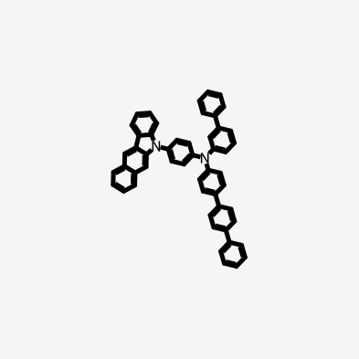 c1ccc(-c2ccc(-c3ccc(N(c4ccc(-n5c6ccccc6c6cc7ccccc7cc65)cc4)c4cccc(-c5ccccc5)c4)cc3)cc2)cc1